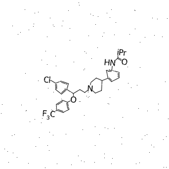 CC(C)C(=O)Nc1cccc(C2CCN(CCC(Oc3ccc(C(F)(F)F)cc3)c3ccc(Cl)cc3)CC2)c1